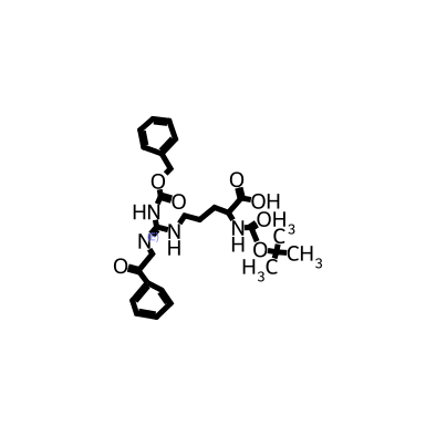 CC(C)(C)OC(=O)NC(CCCN/C(=N\CC(=O)c1ccccc1)NC(=O)OCc1ccccc1)C(=O)O